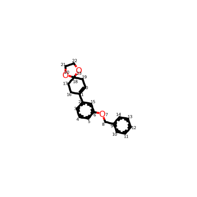 C1=C(c2cccc(OCc3ccccc3)c2)CCC2(C1)OCCO2